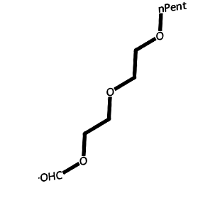 CCCCCOCCOCCO[C]=O